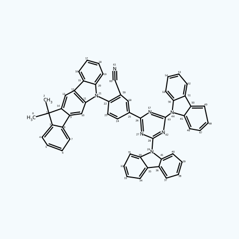 CC1(C)c2ccccc2-c2cc3c(cc21)c1ccccc1n3-c1ccc(-c2nc(-n3c4ccccc4c4ccccc43)nc(-n3c4ccccc4c4ccccc43)n2)cc1C#N